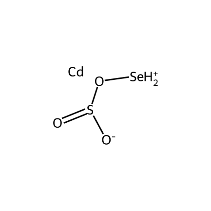 O=S([O-])O[SeH2+].[Cd]